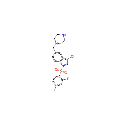 O=S(=O)(c1ccc(F)cc1F)n1cc(Cl)c2cc(CN3CCNCC3)ccc21